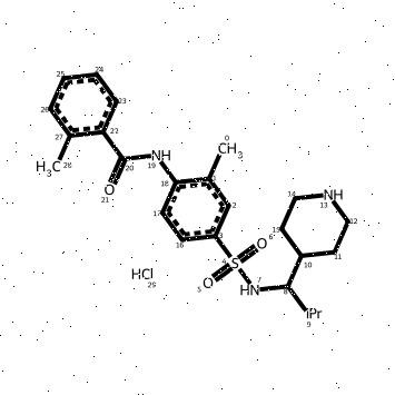 Cc1cc(S(=O)(=O)NC(C(C)C)C2CCNCC2)ccc1NC(=O)c1ccccc1C.Cl